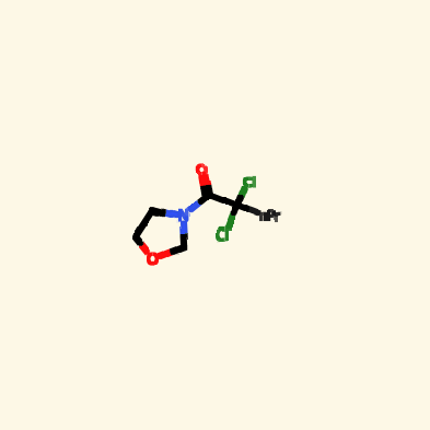 CCCC(Cl)(Cl)C(=O)N1CCOC1